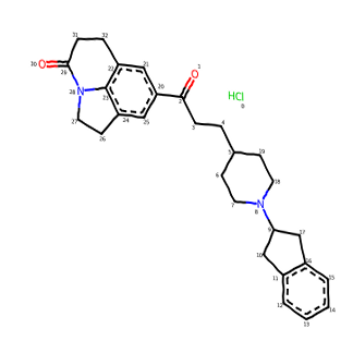 Cl.O=C(CCC1CCN(C2Cc3ccccc3C2)CC1)c1cc2c3c(c1)CCN3C(=O)CC2